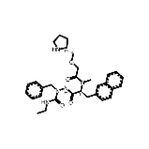 CCNC(=O)N(Cc1ccccc1)NC(=O)[C@H](Cc1ccc2ccccc2c1)N(C)C(=O)COC[C@H]1CCCN1